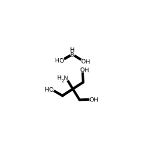 NC(CO)(CO)CO.OBO